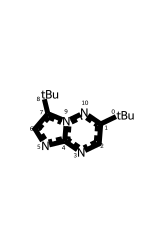 CC(C)(C)c1cnc2ncc(C(C)(C)C)n2n1